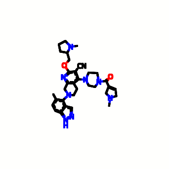 Cc1ccc2[nH]ncc2c1N1CCc2c(nc(OCC3CCCN3C)c(C#N)c2N2CCN(C(=O)C3=CCN(C)C3)CC2)C1